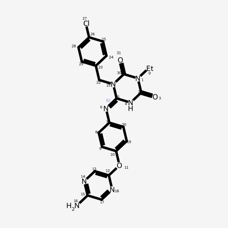 CCn1c(=O)[nH]/c(=N\c2ccc(Oc3cnc(N)cn3)cc2)n(Cc2ccc(Cl)cc2)c1=O